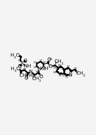 C=CCS(=O)(=O)N[C@@H](C(=C)C)C(=O)N[C@@H](C)C(=O)N1CCC[C@@H](C(=O)O[C@H](C)c2ccc3cnc(C=C)cc3c2)N1